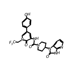 O=C(Nc1cc(-c2ccc(O)cc2)cn(CC(F)(F)F)c1=O)N1CCC(n2c(=O)[nH]c3ncccc32)CC1